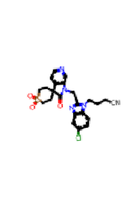 N#CCCCn1c(CN2C(=O)C3(CCS(=O)(=O)CC3)c3ccncc32)nc2cc(Cl)ccc21